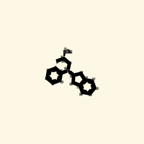 CCCC[C@@H](C)CN(c1ccccc1)C1Cc2ccccc2C1